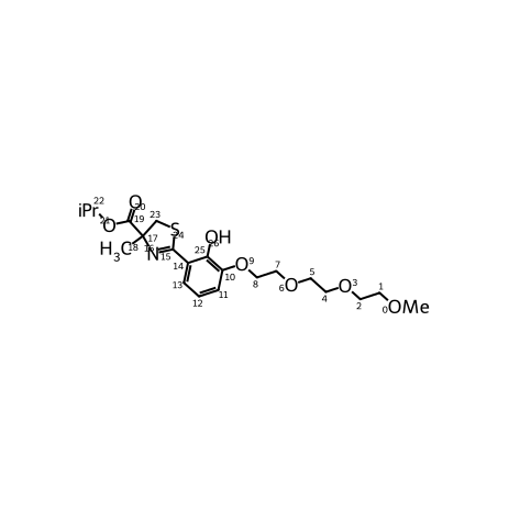 COCCOCCOCCOc1cccc(C2=NC(C)(C(=O)OC(C)C)CS2)c1O